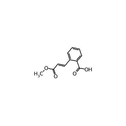 COC(=O)C=Cc1ccccc1C(=O)O